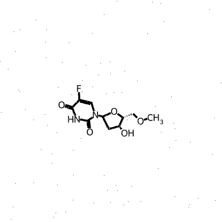 COC[C@H]1OC(n2cc(F)c(=O)[nH]c2=O)C[C@@H]1O